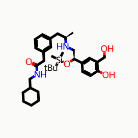 C[C@H](Cc1cccc(CC(=O)NCC2CCCCC2)c1)NC[C@H](O[Si](C)(C)C(C)(C)C)c1ccc(O)c(CO)c1